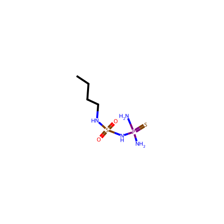 CCCCNS(=O)(=O)NP(N)(N)=S